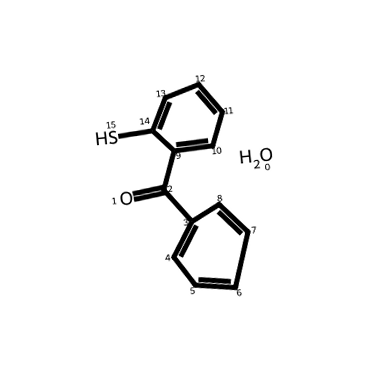 O.O=C(c1ccccc1)c1ccccc1S